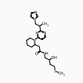 CSCCC(O)CNC(=O)CC1CCCCN1c1ccnc(C(C)Cn2ccnc2)n1